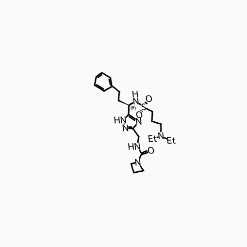 CCN(CC)CCCS(=O)(=O)N[C@H](CCc1ccccc1)c1nc(CNC(=O)N2CCC2)n[nH]1